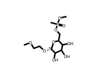 COCCO[C@@H]1OC(COP(C)(=O)OC)C(O)C(O)C1O